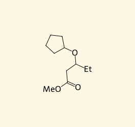 CCC(CC(=O)OC)OC1CCCC1